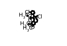 CCOC(=O)c1c(-c2cccc(Cl)c2)c(CCl)n2c1-c1cc(OC)c(OC)cc1CC2